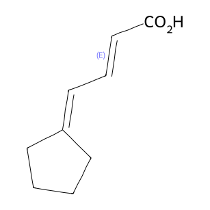 O=C(O)/C=C/C=C1CCCC1